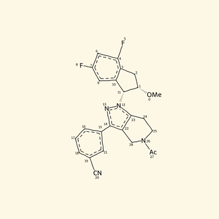 CO[C@H]1Cc2c(F)cc(F)cc2[C@H]1n1nc(-c2cccc(C#N)c2)c2c1CCN(C(C)=O)C2